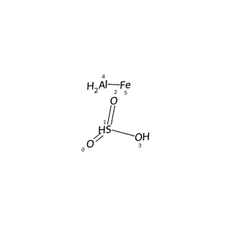 O=[SH](=O)O.[AlH2][Fe]